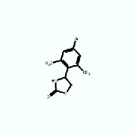 Cc1cc(Br)cc(C)c1C1COC(=O)N1